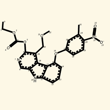 CCOC(=O)Oc1ncc2[nH]c3cccc(Oc4ccc([N+](=O)[O-])c(C)c4)c3c2c1COC